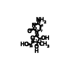 CC1(O)C(O)[C@H](n2ccc(N)nc2=O)O[C@@H]1CO